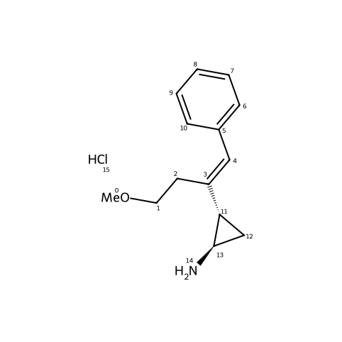 COCC/C(=C\c1ccccc1)[C@@H]1C[C@H]1N.Cl